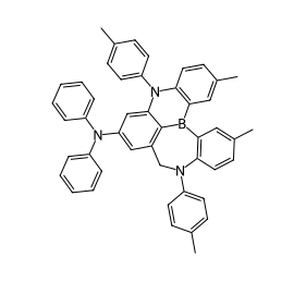 Cc1ccc(N2Cc3cc(N(c4ccccc4)c4ccccc4)cc4c3B(c3cc(C)ccc32)c2cc(C)ccc2N4c2ccc(C)cc2)cc1